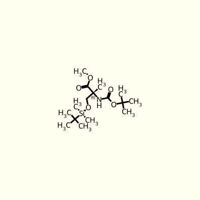 COC(=O)[C@@](C)(CO[Si](C)(C)C(C)(C)C)NC(=O)OC(C)(C)C